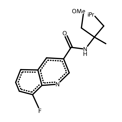 COCC(C)(CC(C)C)NC(=O)c1cnc2c(F)cccc2c1